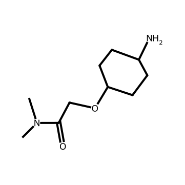 CN(C)C(=O)COC1CCC(N)CC1